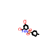 COc1ccc(NS(=O)(=O)c2ccc(C)cc2)c(C=O)c1